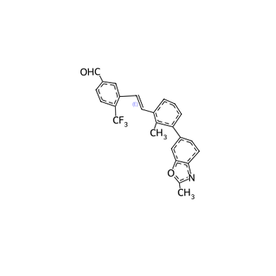 Cc1nc2ccc(-c3cccc(/C=C/c4cc(C=O)ccc4C(F)(F)F)c3C)cc2o1